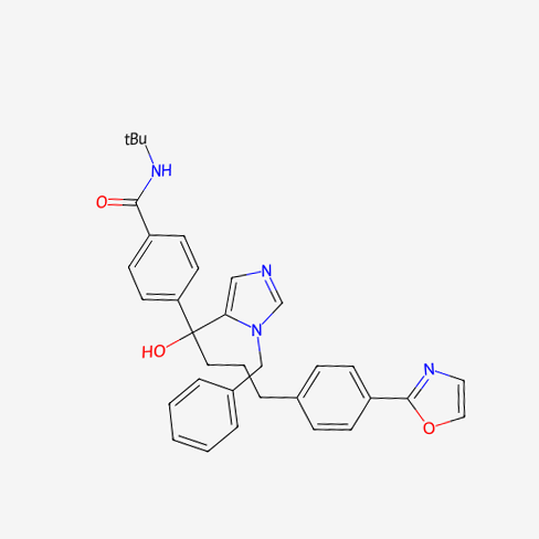 CC(C)(C)NC(=O)c1ccc(C(O)(CCCc2ccc(-c3ncco3)cc2)c2cncn2Cc2ccccc2)cc1